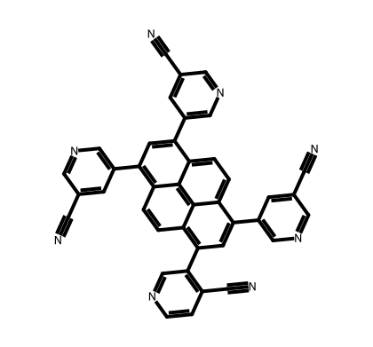 N#Cc1cncc(-c2cc(-c3cncc(C#N)c3)c3ccc4c(-c5cnccc5C#N)cc(-c5cncc(C#N)c5)c5ccc2c3c54)c1